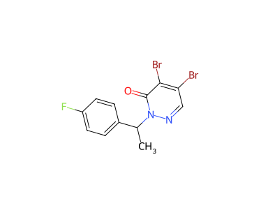 CC(c1ccc(F)cc1)n1ncc(Br)c(Br)c1=O